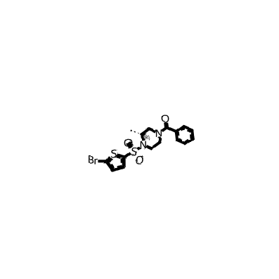 C[C@@H]1CN(C(=O)c2ccccc2)CCN1S(=O)(=O)c1ccc(Br)s1